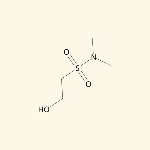 CN(C)S(=O)(=O)CCO